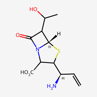 C=C[C@@H](N)C1S[C@H]2C(C(C)O)C(=O)N2C1C(=O)O